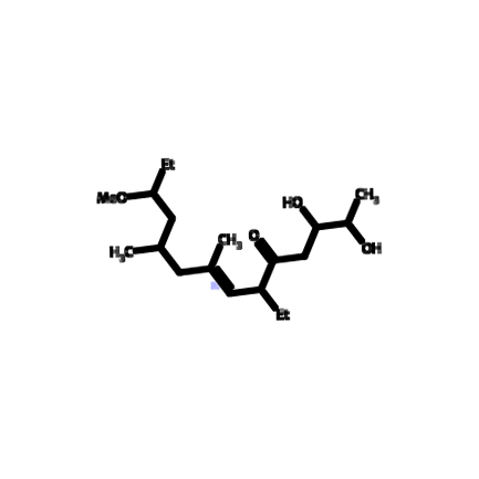 CCC(CC(C)C/C(C)=C/C(CC)C(=O)CC(O)C(C)O)OC